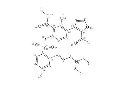 CCN(CC)CC=Cc1cc(F)ccc1S(=O)(=O)Cc1ccc(-c2ccoc2C(C)=O)c(O)c1C(=O)OC